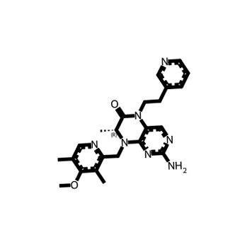 COc1c(C)cnc(CN2c3nc(N)ncc3N(CCc3cccnc3)C(=O)[C@H]2C)c1C